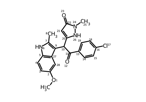 COc1ccc2[nH]c(C)c(C(C(=O)c3ccc(Cl)cc3)c3cc(=O)n(C)[nH]3)c2c1